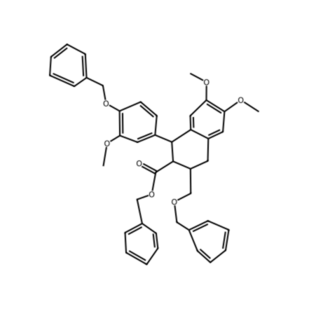 COc1cc2c(cc1OC)C(c1ccc(OCc3ccccc3)c(OC)c1)C(C(=O)OCc1ccccc1)C(COCc1ccccc1)C2